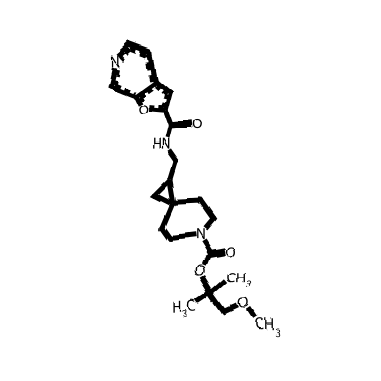 COCC(C)(C)OC(=O)N1CCC2(CC1)CC2CNC(=O)c1cc2ccncc2o1